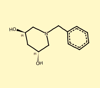 O[C@@H]1C[C@@H](O)CN(Cc2ccccc2)C1